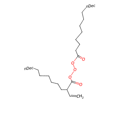 C=CC(CCCCCCCCCCCCCCCC)C(=O)OOOC(=O)CCCCCCCCCCCCCCCCC